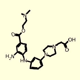 CN(C)CCOC(=O)c1ccc(Nc2cccc(N3CCN(CC(=O)O)CC3)c2)c(N)c1